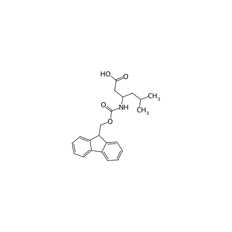 CC(C)CC(CC(=O)O)NC(=O)OCC1c2ccccc2-c2ccccc21